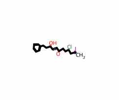 C=C(I)CC(Cl)CCC(=O)/C=C/C(O)CCc1ccccc1